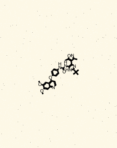 COc1cc2nccc(Oc3ccc(NC(=O)Nc4[nH]c(C(C)(C)C)nc4-c4c(C)noc4C)cc3)c2cc1OC